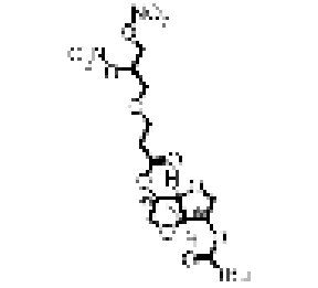 CC(C)(C)C(=O)O[C@@H]1CO[C@H]2[C@@H]1OC[C@H]2OC(=O)CCOCC(CO[N+](=O)[O-])O[N+](=O)[O-]